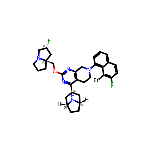 CCc1c(F)ccc2cccc(N3CCc4c(nc(OC[C@@]56CCCN5C[C@H](F)C6)nc4[C@@H]4C[C@H]5CC[C@@H](C4)N5)C3)c12